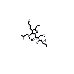 CCCNC(=O)/C(C=O)=C(\O)n1nc(CC)c(/C=C/C=O)c1N(C)CC(C)C